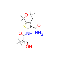 CC1(C)Cc2c(sc(NC(=O)[C@H](CO)C(C)(C)C)c2C(N)=O)C(C)(C)O1